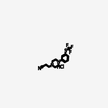 Cl.N#CCCN1CCN(c2cccc(SC(F)(F)F)c2)CC1